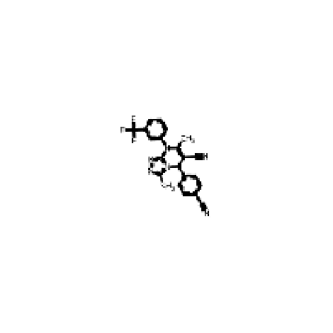 CC1=C(C#N)C(c2ccc(C#N)cc2)n2c(N)nnc2N1c1cccc(C(F)(F)F)c1